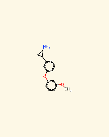 COc1cccc(Oc2cccc(C3CC3N)c2)c1